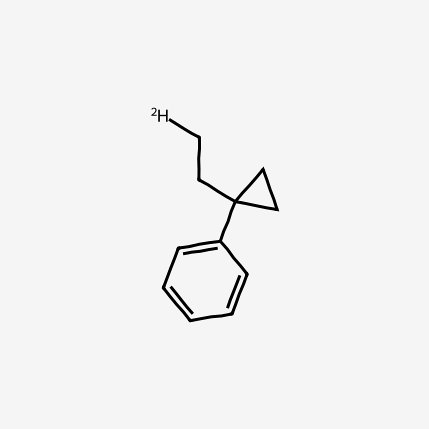 [2H]CCC1(c2ccccc2)CC1